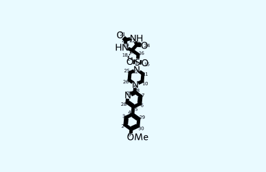 COc1ccc(-c2ccc(N3CCN(S(=O)(=O)C[C@@]4(C)NC(=O)NC4=O)CC3)nc2)cc1